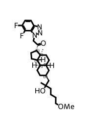 COCCCCC(C)(O)C[C@H]1CC[C@@H]2[C@H](CC[C@]3(C)[C@@H](C(=O)Cn4nnc5ccc(F)c(F)c54)CC[C@@H]23)C1